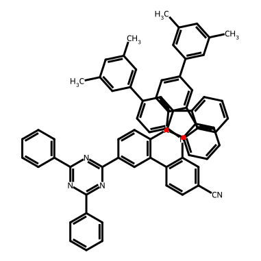 Cc1cc(C)cc(-c2ccc3c(c2)c2ccccc2n3-c2ccc(-c3nc(-c4ccccc4)nc(-c4ccccc4)n3)cc2-c2ccc(C#N)cc2-n2c3ccccc3c3cc(-c4cc(C)cc(C)c4)ccc32)c1